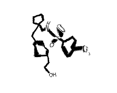 O=S(=O)(NCC1(Cc2ccc(CCO)cc2)CCCC1)c1ccc(C(F)(F)F)cc1